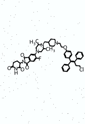 CC1CN(c2cc3c(cc2F)C(=O)N(C2CCC(=O)NC2=O)C3=O)CC(C)N1CC1CCN(CCOc2ccc(C(=C(CCCl)c3ccccc3)c3ccccc3)cc2)CC1